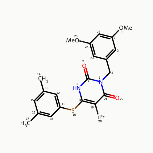 COc1cc(Cn2c(=O)[nH]c(Sc3cc(C)cc(C)c3)c(C(C)C)c2=O)cc(OC)c1